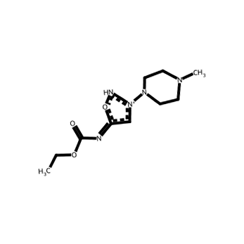 CCOC(=O)/N=c1/c[n+](N2CCN(C)CC2)[nH]o1